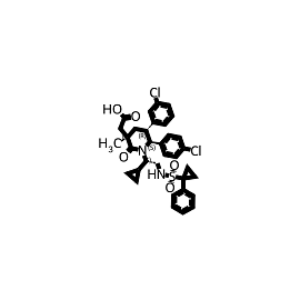 C[C@]1(CC(=O)O)C[C@H](c2cccc(Cl)c2)[C@@H](c2ccc(Cl)cc2)N([C@H](CNS(=O)(=O)C2(c3ccccc3)CC2)C2CC2)C1=O